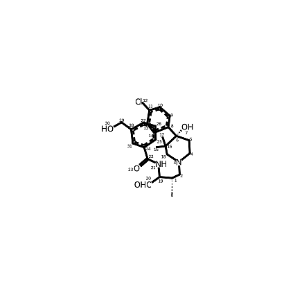 C[C@@H](CN1CC[C@](O)(c2ccc(Cl)cc2)C(C)(C)C1)C(C=O)NC(=O)c1cccc(CO)c1